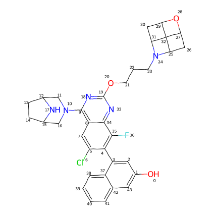 Oc1cc(-c2c(Cl)cc3c(N4CC5CCC(C4)N5)nc(OCCCN4C5CC6OC7CC4C675)nc3c2F)c2ccccc2c1